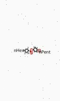 CCCCCCc1ccc(C(=O)Oc2ccc(OCCCCC)cc2)cc1